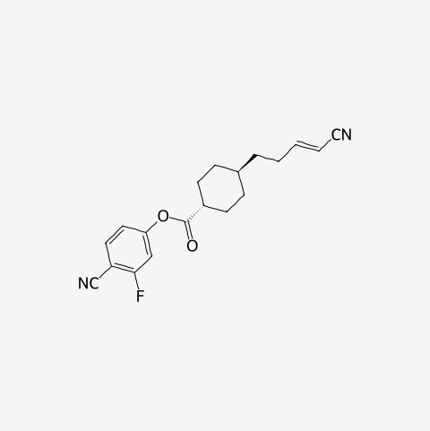 N#CC=CCC[C@H]1CC[C@H](C(=O)Oc2ccc(C#N)c(F)c2)CC1